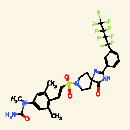 Cc1cc(N(C)C(N)=O)cc(C)c1C=CS(=O)(=O)N1CCC2(CC1)N=C(c1cccc(C(F)(F)C(F)(F)C(F)(F)C(F)(F)F)c1)NC2=O